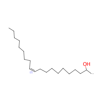 [CH2]C(O)CCCCCCCC/C=C\CCCCCCCC